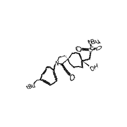 CC(C)(C)c1ccc(N2CC[C@]3(CC[C@@](O)(CS(=O)(=O)C(C)(C)C)CC3)C2=O)cc1